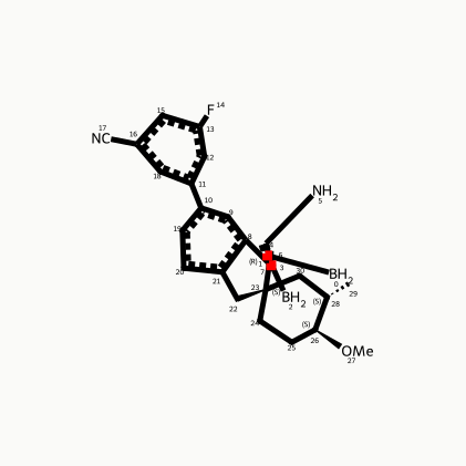 BC1(B)OC(N)=N[C@]12c1cc(-c3cc(F)cc(C#N)c3)ccc1C[C@@]21CC[C@H](OC)[C@@H](C)C1